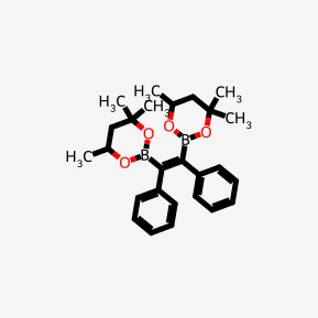 CC1CC(C)(C)OB(/C(=C(\B2OC(C)CC(C)(C)O2)c2ccccc2)c2ccccc2)O1